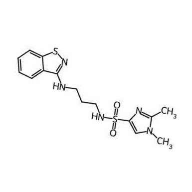 Cc1nc(S(=O)(=O)NCCCNc2nsc3ccccc23)cn1C